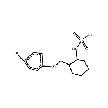 CCS(=O)(=O)NC1CCCCC1COc1ccc(F)cc1